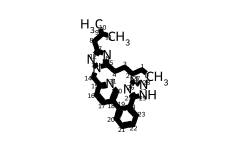 CCCCCc1nc(CC(C)C)nn1Cc1ccc(-c2ccccc2-c2nnn[nH]2)cn1